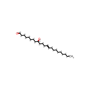 CCCCCCCCCC=CCCCC(=O)CCCCCCCC=O